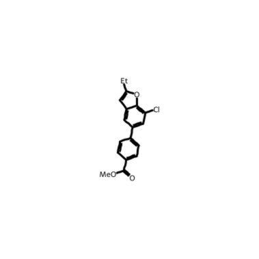 CCc1cc2cc(-c3ccc(C(=O)OC)cc3)cc(Cl)c2o1